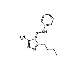 CSCCC1=NN=C(N)/C1=N/Nc1ccccc1